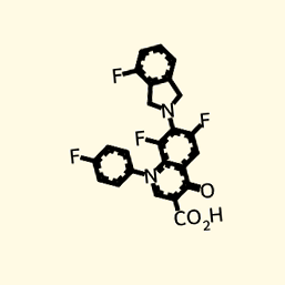 O=C(O)c1cn(-c2ccc(F)cc2)c2c(F)c(N3Cc4cccc(F)c4C3)c(F)cc2c1=O